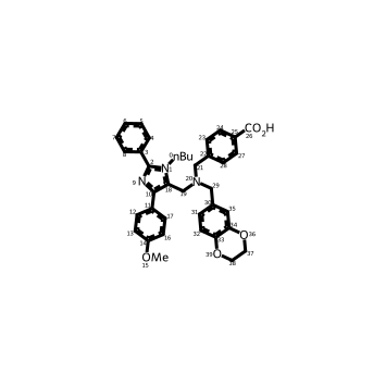 CCCCn1c(-c2ccccc2)nc(-c2ccc(OC)cc2)c1CN(Cc1ccc(C(=O)O)cc1)Cc1ccc2c(c1)OCCO2